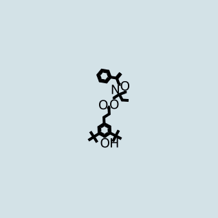 C=C(C1=NC(CC)(COC(=O)CCc2cc(C(C)(C)C)c(O)c(C(C)(C)C)c2)CO1)c1ccccc1